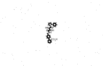 O=C(O)c1ccccc1-c1ccc(CNC(=O)[C@H](O)[C@@H](O)C(=O)N2CCC[C@@H]2c2ccccc2)cc1